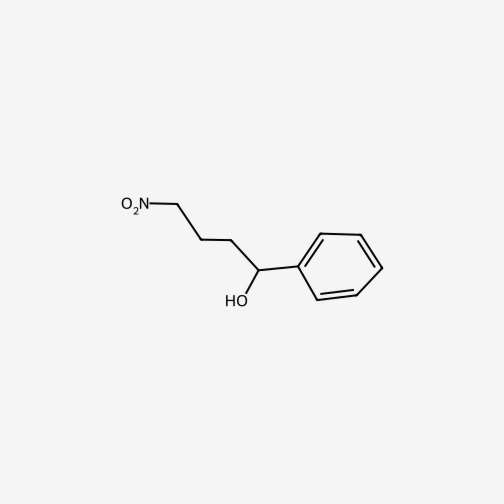 O=[N+]([O-])CCCC(O)c1ccccc1